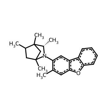 Cc1cc2oc3ccccc3c2cc1N1[C@@H](C)C2(C)CC1(C)CC2C